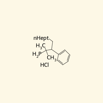 CCCCCCCCC(c1ccccc1)C(C)(C)P.Cl